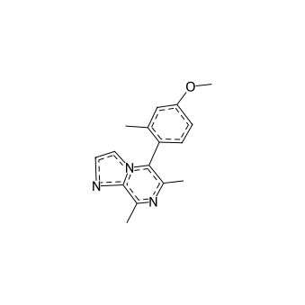 COc1ccc(-c2c(C)nc(C)c3nccn23)c(C)c1